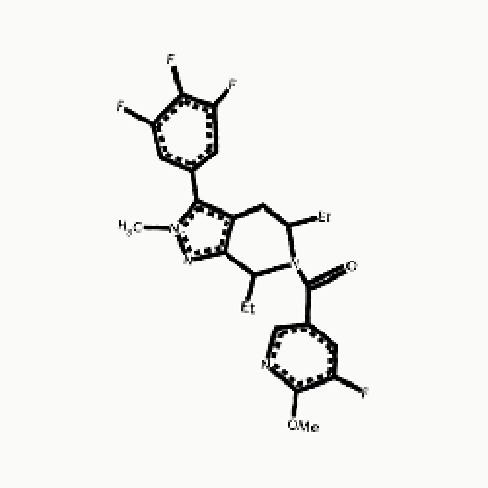 CCC1Cc2c(nn(C)c2-c2cc(F)c(F)c(F)c2)C(CC)N1C(=O)c1cnc(OC)c(F)c1